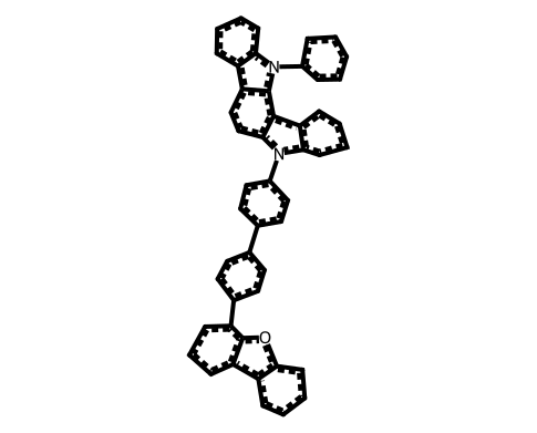 c1ccc(-n2c3ccccc3c3ccc4c(c5ccccc5n4-c4ccc(-c5ccc(-c6cccc7c6oc6ccccc67)cc5)cc4)c32)cc1